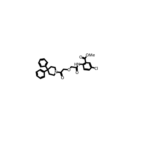 COC(=O)c1cc(Cl)ccc1NC(=O)COCC(=O)N1CCC(c2ccccc2)(c2ccccc2)CC1